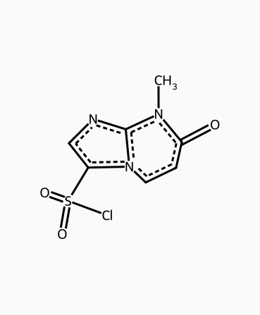 Cn1c(=O)ccn2c(S(=O)(=O)Cl)cnc12